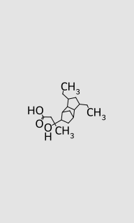 CCC1CC(CC)C2C3CC(CC3C(C)(O)CC(=O)O)C12